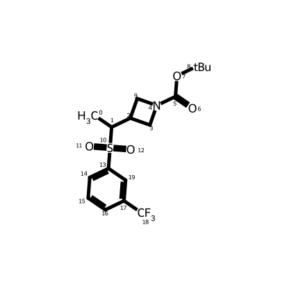 CC(C1CN(C(=O)OC(C)(C)C)C1)S(=O)(=O)c1cccc(C(F)(F)F)c1